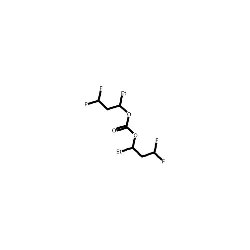 CCC(CC(F)F)OC(=O)OC(CC)CC(F)F